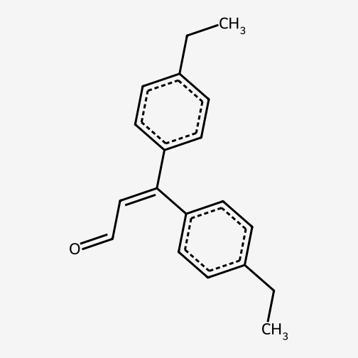 CCc1ccc(C(=CC=O)c2ccc(CC)cc2)cc1